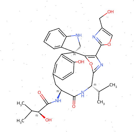 CC(C)[C@H](O)C(=O)N[C@H]1Cc2ccc(O)c(c2)[C@]2(CNc3ccccc32)c2oc(nc2-c2nc(CO)co2)[C@H](C(C)C)NC1=O